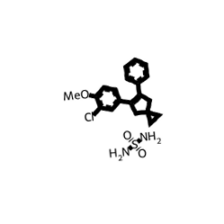 COc1ccc(C2=C(c3ccccc3)CC3(CC3)C2)cc1Cl.NS(N)(=O)=O